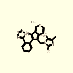 CCOC(=O)c1c(C)nc(CC)n1Cc1c2ccocc-2c(Br)c1-c1ccccc1-c1nnn[nH]1.Cl